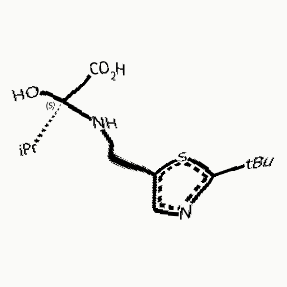 CC(C)[C@@](O)(NCc1cnc(C(C)(C)C)s1)C(=O)O